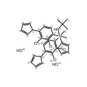 CC(C)(C)[NH][Ti]([CH3])([CH3])([C]1=CC=CC1)([c]1ccc(C2C=CC=C2)c(Cl)c1Cl)[c]1ccc(C2C=CC=C2)c(Cl)c1Cl.Cl.Cl